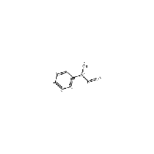 O=N[N]([Cu])c1ccccc1